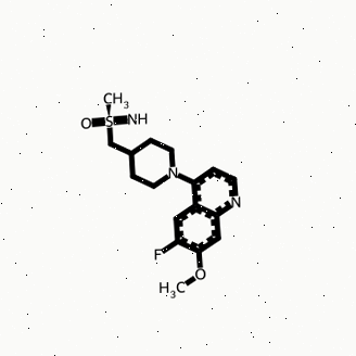 COc1cc2nccc(N3CCC(C[S@@](C)(=N)=O)CC3)c2cc1F